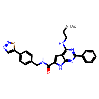 CC(=O)NCCNc1nc(-c2ccccc2)nc2[nH]c(C(=O)NCc3ccc(-c4cnns4)cc3)cc12